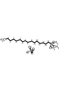 CCCCCCCCCCCCCCCC[N+](C)(C)C.[O]=[Re](=[O])(=[O])[O-]